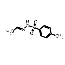 B/C=N/NS(=O)(=O)c1ccc(C)cc1